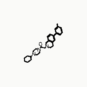 Cc1cccc(-c2ccc3c(c2)CCN(CC(=O)N2CCN(C4CCCCC4)CC2)C3)c1